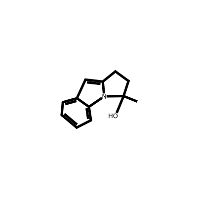 CC1(O)CCc2cc3ccccc3n21